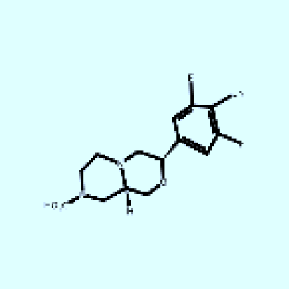 N#Cc1c(F)cc([C@@H]2CN3CCN(C(=O)O)C[C@H]3CO2)cc1F